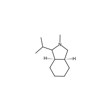 CC(C)C1[C@@H]2CCCC[C@@H]2CN1C